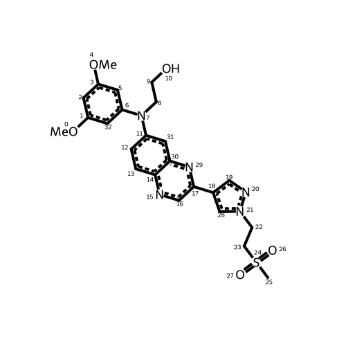 COc1cc(OC)cc(N(CCO)c2ccc3ncc(-c4cnn(CCS(C)(=O)=O)c4)nc3c2)c1